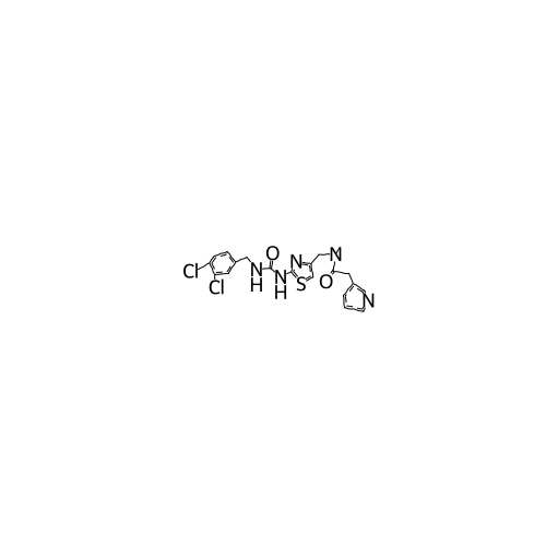 CN(Cc1csc(NC(=O)NCc2ccc(Cl)c(Cl)c2)n1)C(=O)Cc1cccnc1